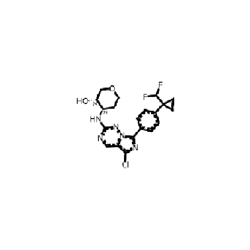 O[C@@H]1COCC[C@H]1Nc1ncc2c(Cl)nc(-c3ccc(C4(C(F)F)CC4)cc3)n2n1